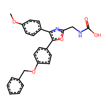 COc1ccc(-c2nc(CNC(=O)O)oc2-c2ccc(OCc3ccccc3)cc2)cc1